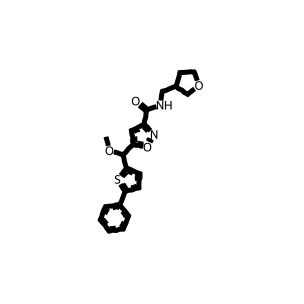 COC(c1cc(C(=O)NCC2CCOC2)no1)c1ccc(-c2ccccc2)s1